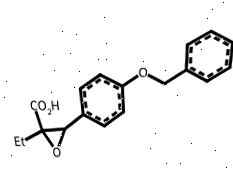 CCC1(C(=O)O)OC1c1ccc(OCc2ccccc2)cc1